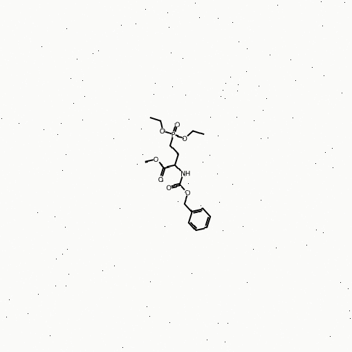 CCOP(=O)(CCC(NC(=O)OCc1ccccc1)C(=O)OC)OCC